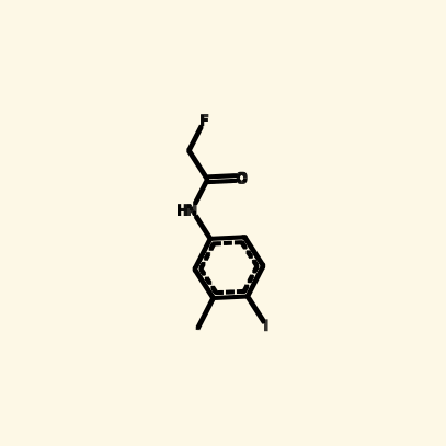 Cc1cc(NC(=O)CF)ccc1I